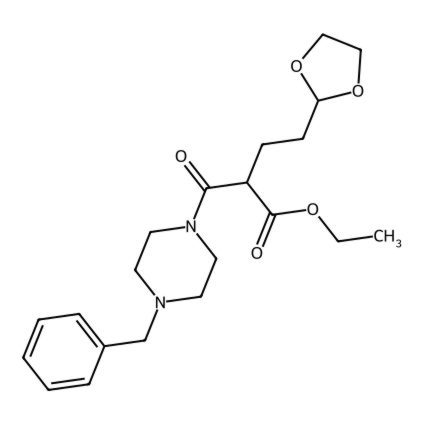 CCOC(=O)C(CCC1OCCO1)C(=O)N1CCN(Cc2ccccc2)CC1